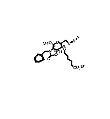 CCOC(=O)CCCCCO[C@@H]1C(CN=[N+]=[N-])O[C@H](OC)C2[C@H]1OC(=O)N2Cc1ccccc1